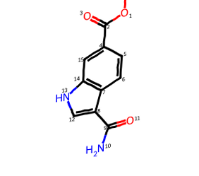 COC(=O)c1ccc2c(C(N)=O)c[nH]c2c1